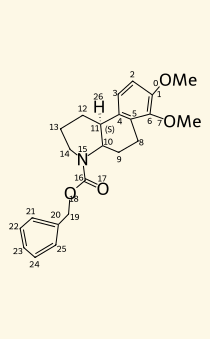 COc1ccc2c(c1OC)CCC1[C@H]2CCCN1C(=O)OCc1ccccc1